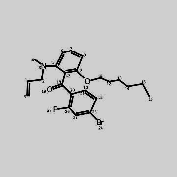 C=CCN(C)c1cccc(OCCCCCC)c1C(=O)c1ccc(Br)cc1F